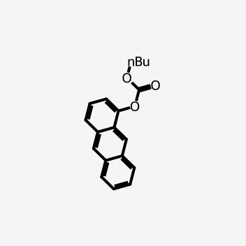 CCCCOC(=O)Oc1cccc2cc3ccccc3cc12